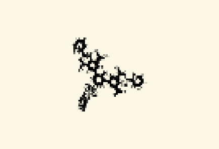 Cc1c(-c2cc(C(C)C)c(N=Cc3ccccn3)c(C(C)C)c2)cc([N+](=O)[O-])cc1-c1cc(C(C)C)c(N=Cc2ccccn2)c(C(C)C)c1.[Cl-].[Cl-].[Cl-].[Cl-].[Ni].[Ni]